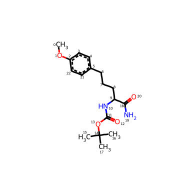 COc1ccc(CCCC(NC(=O)OC(C)(C)C)C(N)=O)cc1